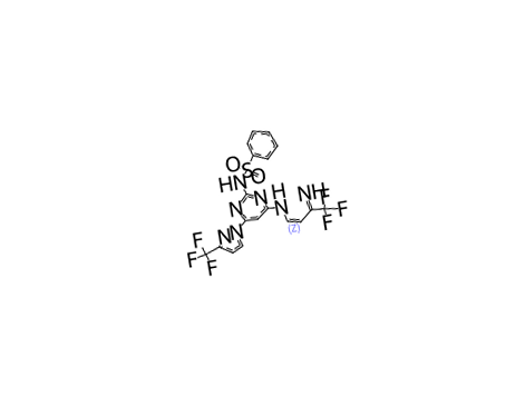 N=C(/C=C\Nc1cc(-n2ccc(C(F)(F)F)n2)nc(NS(=O)(=O)c2ccccc2)n1)C(F)(F)F